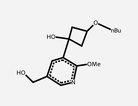 CCCCOC1CC(O)(c2cc(CO)cnc2OC)C1